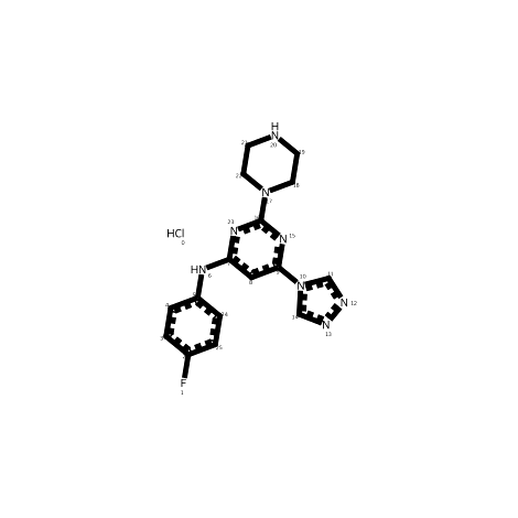 Cl.Fc1ccc(Nc2cc(-n3cnnc3)nc(N3CCNCC3)n2)cc1